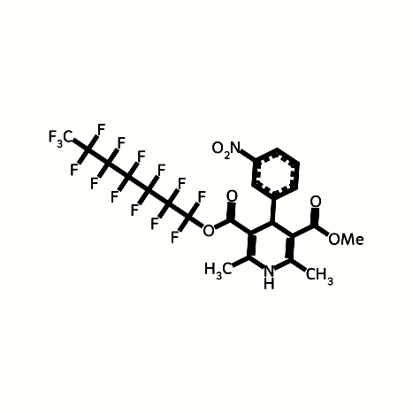 COC(=O)C1=C(C)NC(C)=C(C(=O)OC(F)(F)C(F)(F)C(F)(F)C(F)(F)C(F)(F)C(F)(F)C(F)(F)F)C1c1cccc([N+](=O)[O-])c1